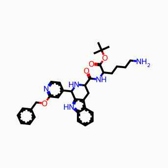 CC(C)(C)OC(=O)C(CCCCN)NC(=O)C1Cc2c([nH]c3ccccc23)C(c2ccnc(OCc3ccccc3)c2)N1